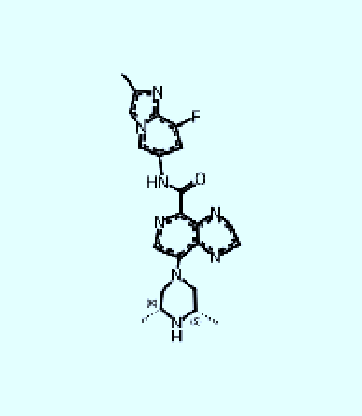 Cc1cn2cc(NC(=O)c3ncc(N4C[C@@H](C)N[C@@H](C)C4)c4nccnc34)cc(F)c2n1